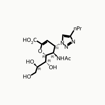 CCCc1cn([C@H]2C=C(C(=O)O)O[C@@H]([C@H](O)[C@H](O)CO)[C@@H]2NC(C)=O)nn1